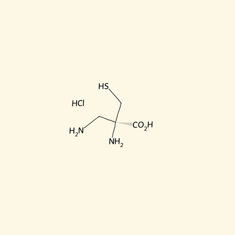 Cl.NC[C@](N)(CS)C(=O)O